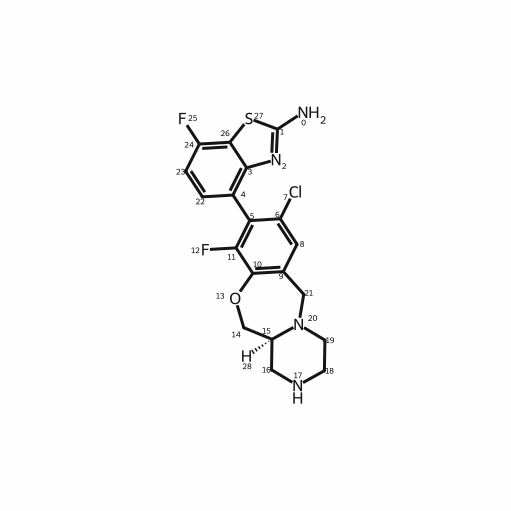 Nc1nc2c(-c3c(Cl)cc4c(c3F)OC[C@@H]3CNCCN3C4)ccc(F)c2s1